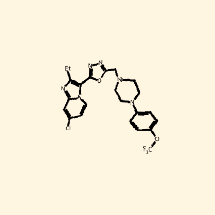 CCc1nc2cc(Cl)ccn2c1-c1nnc(CN2CCN(c3ccc(OC(F)(F)F)cc3)CC2)o1